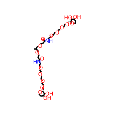 CC(COCCC(=O)NCCOCCOCCOCCOC[C@H]1OCC[C@@H](O)[C@H]1O)COCCC(=O)NCCOCCOCCOCCOC[C@H]1OCC[C@@H](O)[C@H]1O